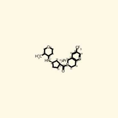 CC1COCCC1N[C@@H]1CC[C@@](C(=O)N2CCc3ncc(C(F)(F)F)cc3C2)(C(C)C)C1